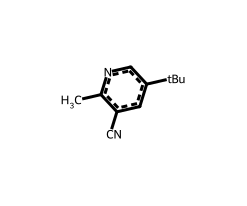 Cc1ncc(C(C)(C)C)cc1C#N